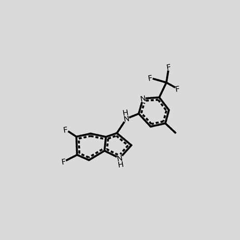 Cc1cc(Nc2c[nH]c3cc(F)c(F)cc23)nc(C(F)(F)F)c1